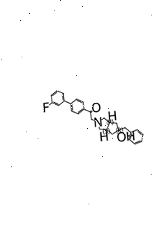 O=C(CN1C[C@@H]2C[C@@](O)(Cc3ccccc3)C[C@@H]2C1)c1ccc(-c2cccc(F)c2)cc1